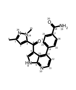 Cc1cc(C(=O)c2c[nH]c3nccc(-c4ccc(C(N)=O)cc4)c23)n(C)n1